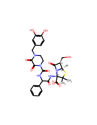 CC1(C)S[C@@H]2[C@H](CO)C(=O)N2[C@@]1(NC(=O)C(NC(=O)N1CCN(Cc2ccc(O)c(O)c2)C(=O)C1=O)c1ccccc1)C(=O)O